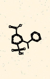 CC(c1ccccc1)c1cc([N+](=O)[O-])ccc1S(=O)(=O)O